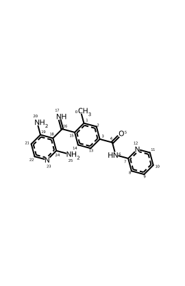 Cc1cc(C(=O)Nc2ccccn2)ccc1C(=N)c1c(N)ccnc1N